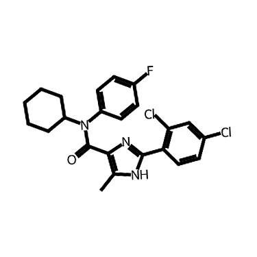 Cc1[nH]c(-c2ccc(Cl)cc2Cl)nc1C(=O)N(c1ccc(F)cc1)C1CCCCC1